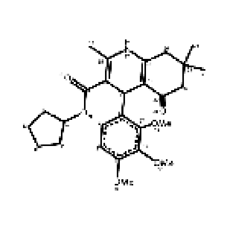 COc1ccc(C2C(C(=O)OC3CCCC3)=C(C)NC3=C2C(=O)CC(C)(C)C3)c(OC)c1OC